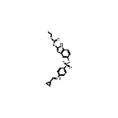 CCNC(=O)Nc1nc2cc(OS(=O)(=O)c3ccc(NCC4CC4)cc3)ccc2[nH]1